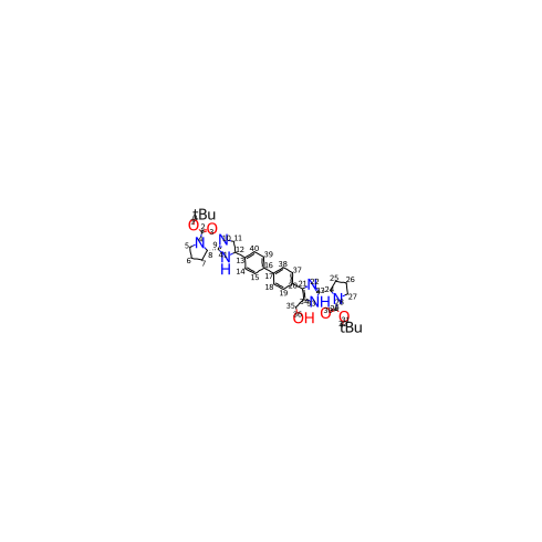 CC(C)(C)OC(=O)N1CCC[C@H]1C1=NCC(c2ccc(-c3ccc(-c4nc([C@@H]5CCCN5C(=O)OC(C)(C)C)[nH]c4CO)cc3)cc2)N1